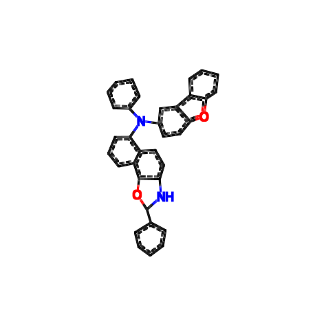 c1ccc(C2Nc3ccc4c(N(c5ccccc5)c5ccc6oc7ccccc7c6c5)cccc4c3O2)cc1